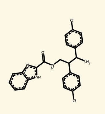 CC(c1ccc(Cl)cc1)C(CNC(=O)c1nc2ccccc2[nH]1)c1ccc(Cl)cc1